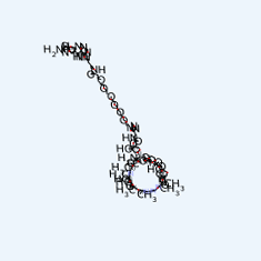 CO[C@H]1C[C@@H]2CCC[C@@](O)(O2)C(=O)C(=O)N2CCCC[C@H]2C(=O)O[C@H]([C@H](N)C[C@@H]2CC[C@@H](OC(=O)NCc3cn(CCOCCOCCOCCOCCOCCOCCC(=O)NCCCCNc4ncnc(N)c4C(=N)c4ccc5oc(N)nc5c4)nn3)[C@H](O)C2)CC(=O)[C@H](C)/C=C(\C)[C@@H](O)[C@@H](O)C(=O)[C@H](C)C[C@H](C)/C=C/C=C/C=C/1C